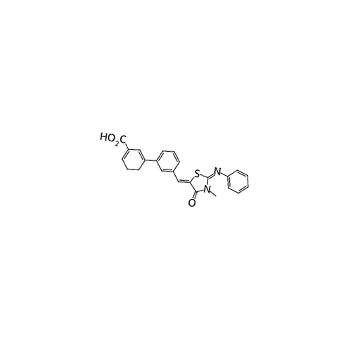 CN1C(=O)/C(=C/c2cccc(C3=CC(C(=O)O)=CCC3)c2)S/C1=N/c1ccccc1